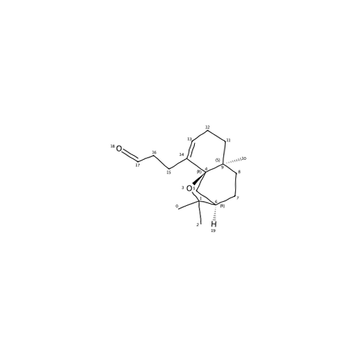 CC1(C)O[C@]23C[C@H]1CC[C@]2(C)CCC=C3CCC=O